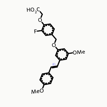 COc1ccc(/C=C/c2cc(OC)cc(OCc3ccc(OCC(=O)O)c(F)c3)c2)cc1